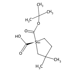 CC1(C)CC[Si@@](C(=O)O)(C(=O)OC(C)(C)C)C1